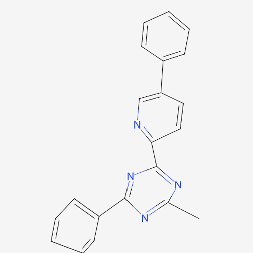 Cc1nc(-c2ccccc2)nc(-c2ccc(-c3ccccc3)cn2)n1